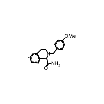 COc1ccc(CN2CCc3c[c]ccc3C2C(N)=O)cc1